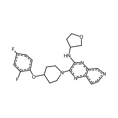 Fc1ccc(OC2CCN(c3nc4ccncc4nc3NC3CCOC3)CC2)c(F)c1